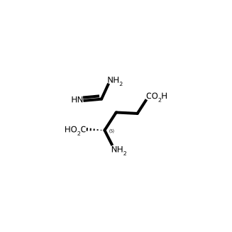 N=CN.N[C@@H](CCC(=O)O)C(=O)O